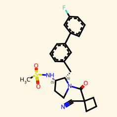 CS(=O)(=O)N[C@H]1CCN(C(=O)C2(C#N)CCC2)[C@H]1Cc1cccc(-c2cccc(F)c2)c1